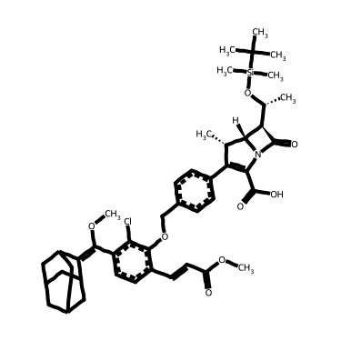 COC(=O)/C=C/c1ccc(C(OC)=C2C3CC4CC(C3)CC2C4)c(Cl)c1OCc1ccc(C2=C(C(=O)O)N3C(=O)[C@H]([C@@H](C)O[Si](C)(C)C(C)(C)C)[C@H]3[C@H]2C)cc1